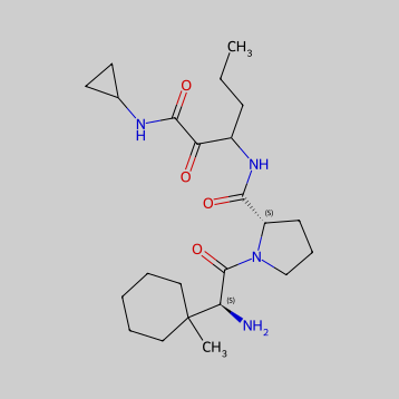 CCCC(NC(=O)[C@@H]1CCCN1C(=O)[C@@H](N)C1(C)CCCCC1)C(=O)C(=O)NC1CC1